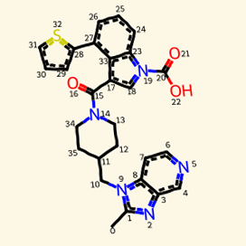 Cc1nc2cnccc2n1CC1CCN(C(=O)c2cn(C(=O)O)c3cccc(-c4cccs4)c23)CC1